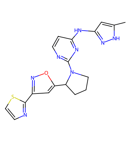 Cc1cc(Nc2ccnc(N3CCCC3c3cc(-c4nccs4)no3)n2)n[nH]1